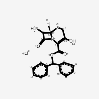 Cl.NC1C(=O)N2C(C(=O)OC(c3ccccc3)c3ccccc3)=C(O)CS[C@@H]12